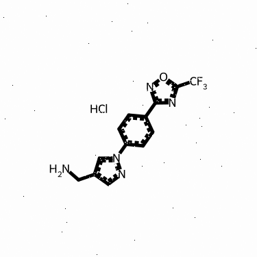 Cl.NCc1cnn(-c2ccc(-c3noc(C(F)(F)F)n3)cc2)c1